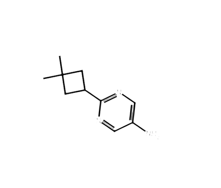 CC1(C)CC(c2ncc(N)cn2)C1